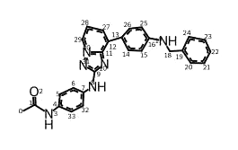 CC(=O)Nc1ccc(Nc2nc3c(-c4ccc(NCc5ccccc5)cc4)cccn3n2)cc1